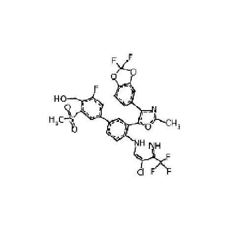 Cc1nc(-c2ccc3c(c2)OC(F)(F)O3)c(-c2cc(-c3cc(F)c(CO)c(S(C)(=O)=O)c3)ccc2N/C=C(/Cl)C(=N)C(F)(F)F)o1